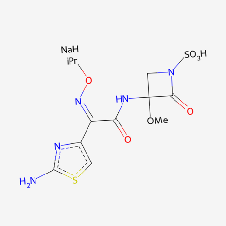 COC1(NC(=O)C(=NOC(C)C)c2csc(N)n2)CN(S(=O)(=O)O)C1=O.[NaH]